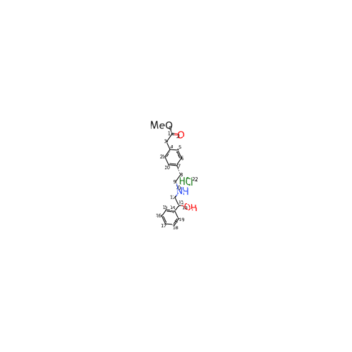 COC(=O)Cc1ccc(CCNCC(O)c2ccccc2)cc1.Cl